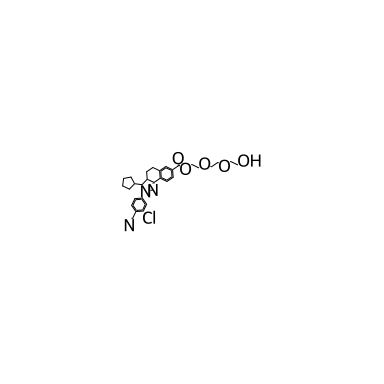 N#Cc1ccc(N2N=C3c4ccc(C(=O)OCCOCCOCCO)cc4CCC3C2C2CCCC2)cc1Cl